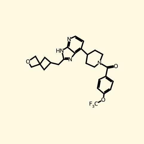 O=C(c1ccc(OC(F)(F)F)cc1)N1CCC(c2ccnc3[nH]c(CC4CC5(COC5)C4)nc23)CC1